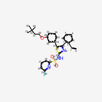 C=Cc1ccccc1-c1nc(NS(=O)(=O)c2cccc(F)n2)sc1-c1cccc(OCCC(C)(C)C)c1